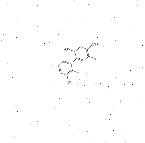 CC1CC(C(=O)O)=C(F)C=C1c1cccc(C(F)(F)F)c1F